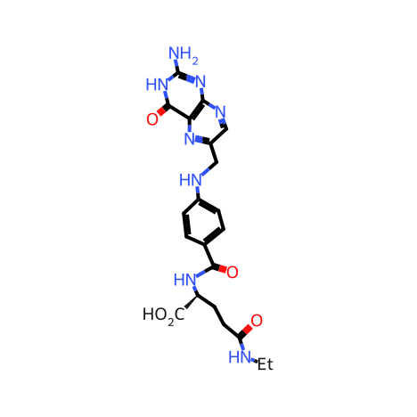 CCNC(=O)CC[C@H](NC(=O)c1ccc(NCc2cnc3nc(N)[nH]c(=O)c3n2)cc1)C(=O)O